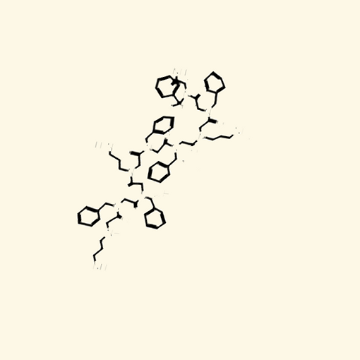 C[C@H](c1ccccc1)N(CC(=O)N(CCCN)CC(=O)N(CC(=O)N(CC(=O)N(CCCN)CC(=O)N(CC(=O)N(CC(N)=O)[C@](C)(I)c1ccccc1)Cc1ccccc1)[C@H](C)c1ccccc1)Cc1ccccc1)C(=O)CN(Cc1ccccc1)C(=O)CNCCCN